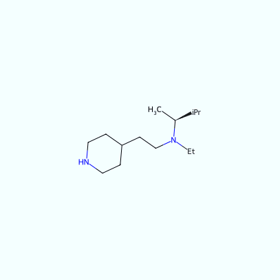 CCN(CCC1CCNCC1)[C@@H](C)C(C)C